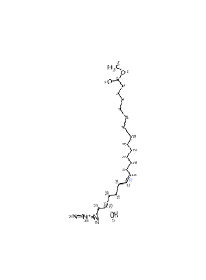 COC(=O)CCCCCCCCCCCC/C=C\CCC[C@H](O)CN=[N+]=[N-]